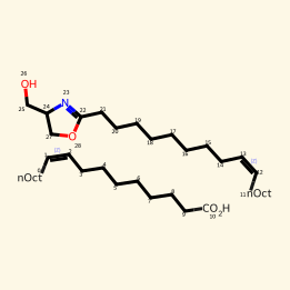 CCCCCCCC/C=C\CCCCCCCC(=O)O.CCCCCCCC/C=C\CCCCCCCCC1=NC(CO)CO1